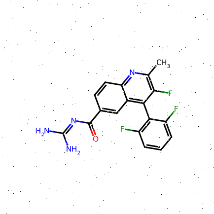 Cc1nc2ccc(C(=O)N=C(N)N)cc2c(-c2c(F)cccc2F)c1F